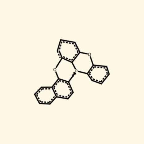 S=P12c3ccccc3Oc3cccc(c31)Oc1c2ccc2ccccc12